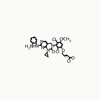 COc1cc(OC/C=C/C(=O)Cl)c(Cl)c(N2Cc3cnc(Nc4ccccc4N)nc3N(C3CC3)C2=O)c1Cl